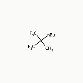 CCCCC(C)(C(F)(F)F)C(F)(F)F